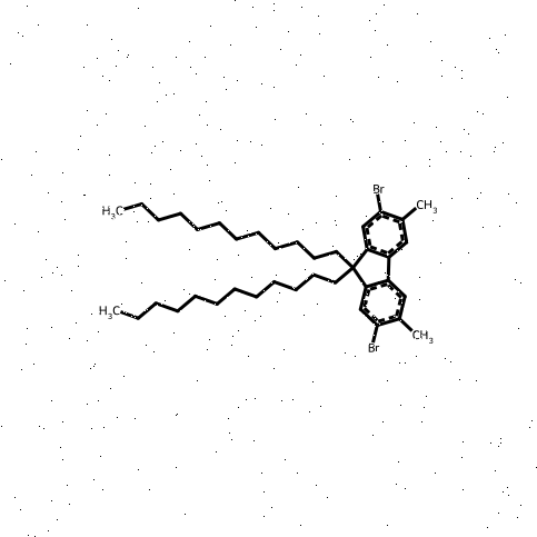 CCCCCCCCCCCCC1(CCCCCCCCCCCC)c2cc(Br)c(C)cc2-c2cc(C)c(Br)cc21